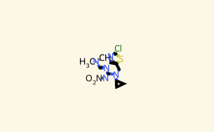 CN(C)/C=N/C(=N\[N+](=O)[O-])N(Cc1cnc(Cl)s1)C1CC1